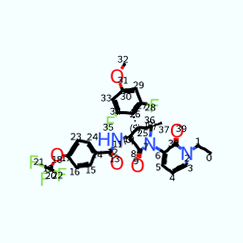 CCn1cccc(N2C(=O)[C@@H](NC(=O)c3ccc(OC(F)(F)F)cc3)[C@H](c3c(F)cc(OC)cc3F)[C@H]2C)c1=O